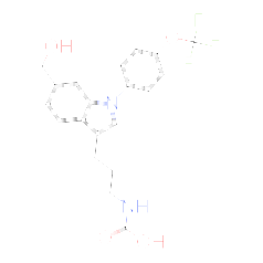 O=C(O)NCCCc1cn(-c2ccc(OC(F)(F)F)cc2)c2cc(CO)ccc12